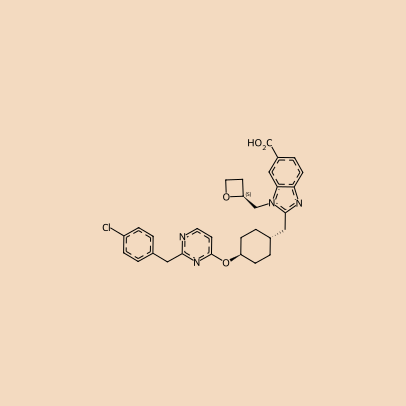 O=C(O)c1ccc2nc(C[C@H]3CC[C@H](Oc4ccnc(Cc5ccc(Cl)cc5)n4)CC3)n(C[C@@H]3CCO3)c2c1